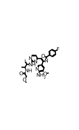 COCC(=O)NC(C)C(I)Nc1nccc(-c2oc(-c3ccc(F)cc3)nc2-c2cnc(N)c(OC)c2)n1